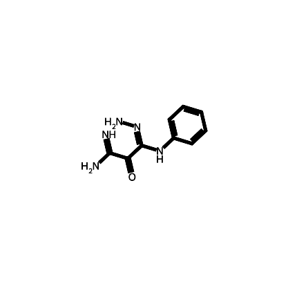 N=C(N)C(=O)C(=NN)Nc1ccccc1